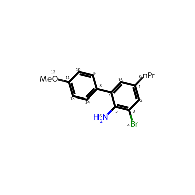 CCCc1cc(Br)c(N)c(-c2ccc(OC)cc2)c1